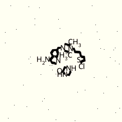 C[C@@H]1CN(Cc2ccc3c(N)ccnc3c2)C[C@H](C)N1CC=Cc1ccc(Cl)s1.O=C1CNCCN1